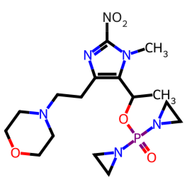 CC(OP(=O)(N1CC1)N1CC1)c1c(CCN2CCOCC2)nc([N+](=O)[O-])n1C